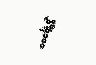 C=CC(=O)Nc1cc(Nc2cc(N3OCC[C@@H]3c3cccc(C(F)(F)F)c3)ncn2)c(OC)cc1N1CCC(N2CCC(N3CCN(C)CC3)CC2)CC1